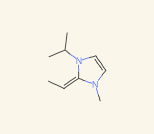 C/C=C1/N(C)C=CN1C(C)C